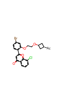 CC(=O)[C@H]1C[C@@H](OCCOc2cc(Br)ccc2-c2cc(=O)c3cccc(Cl)c3o2)C1